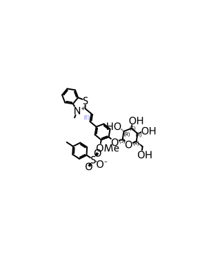 COc1cc(/C=C/c2sc3ccccc3[n+]2C)ccc1O[C@@H]1O[C@H](CO)[C@H](O)[C@H](O)[C@H]1O.Cc1ccc(S(=O)(=O)[O-])cc1